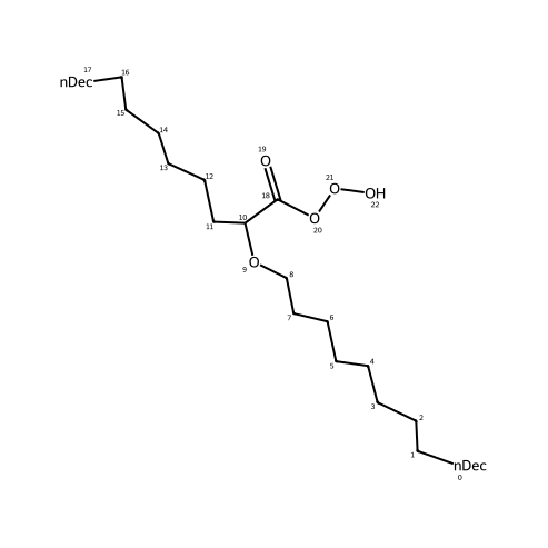 CCCCCCCCCCCCCCCCCCOC(CCCCCCCCCCCCCCCC)C(=O)OOO